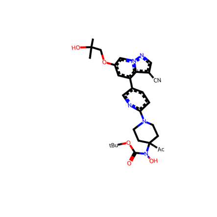 CC(=O)C1(N(O)C(=O)OC(C)(C)C)CCN(c2ccc(-c3cc(OCC(C)(C)O)cn4ncc(C#N)c34)cn2)CC1